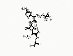 NC(=O)OCC1=C(C(=O)O)N2C(=O)[C@@H](NC(=O)/C(=N\OCC3(C(=O)O)CC3)c3csc(N)n3)[C@H]2SC1